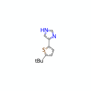 CC(C)(C)c1ccc(-c2c[nH]cn2)s1